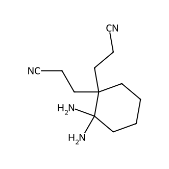 N#CCCC1(CCC#N)CCCCC1(N)N